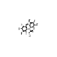 Fc1c(F)c(F)c(N(C(=S)S)c2c(F)c(F)c(F)c(F)c2F)c(F)c1F